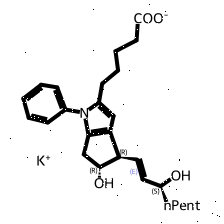 CCCCC[C@H](O)/C=C/[C@@H]1c2cc(CCCCC(=O)[O-])n(-c3ccccc3)c2C[C@H]1O.[K+]